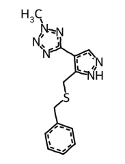 Cn1nnc(-c2cn[nH]c2CSCc2ccccc2)n1